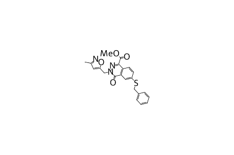 COC(=O)c1nn(Cc2cc(C)no2)c(=O)c2cc(SCc3ccccc3)ccc12